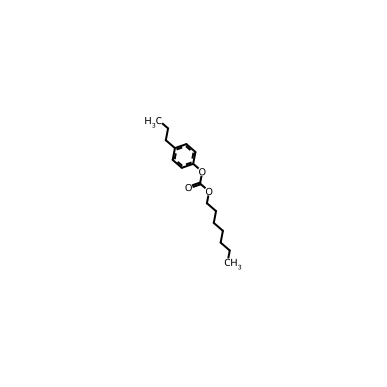 CCCCCCCOC(=O)Oc1ccc(CCC)cc1